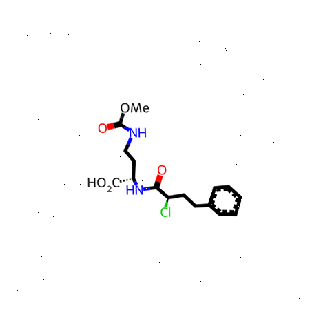 COC(=O)NCC[C@H](NC(=O)[C@H](Cl)CCc1ccccc1)C(=O)O